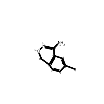 Cc1ccc2c(c1)C(N)=NOC2